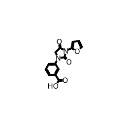 O=C(O)c1cccc(N2CC(=O)N(c3ccco3)C2=O)c1